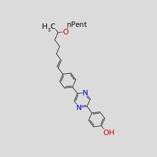 CCCCCOC(C)CCC/C=C/c1ccc(-c2cnc(-c3ccc(O)cc3)cn2)cc1